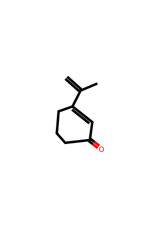 C=C(C)C1=CC(=O)CCC1